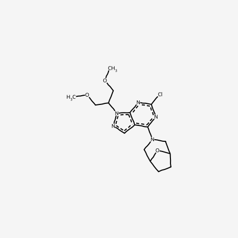 COCC(COC)n1ncc2c(N3CC4CCC(C3)O4)nc(Cl)nc21